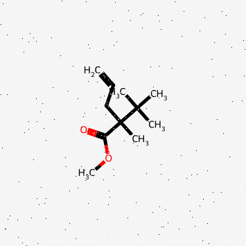 C=CCC(C)(C(=O)OC)C(C)(C)C